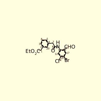 CCOC(=O)Cc1cccc(CC(=O)Nc2cc(Cl)c(Br)cc2C=O)c1